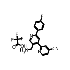 N#Cc1ccnc(-c2cc(-c3ccc(F)cc3)ncc2CN)c1.O=C(O)C(F)(F)F